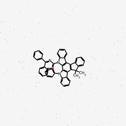 CC1(C)c2ccccc2-c2c1c1c3ccccc3n(-c3ccccc3)c1c1c2c2ccccc2n1-c1nc(-c2ccccc2)c2ccccc2n1